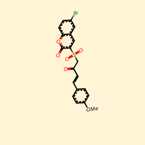 COc1ccc(/C=C/C(=O)CS(=O)(=O)c2cc3cc(Br)ccc3oc2=O)cc1